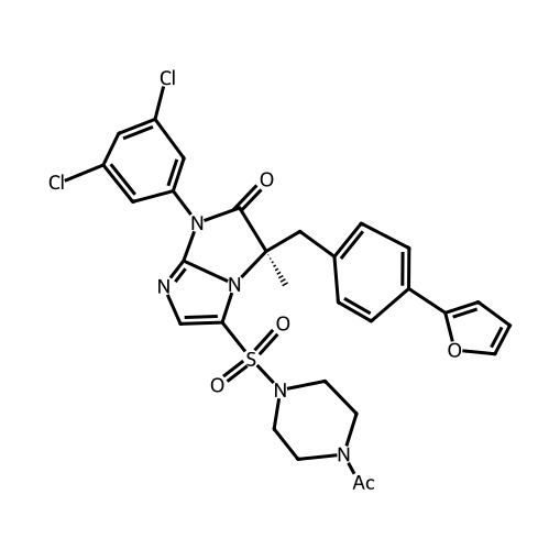 CC(=O)N1CCN(S(=O)(=O)c2cnc3n2[C@](C)(Cc2ccc(-c4ccco4)cc2)C(=O)N3c2cc(Cl)cc(Cl)c2)CC1